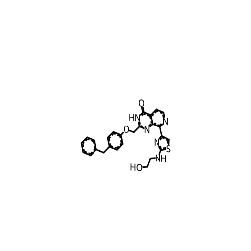 O=c1[nH]c(COc2ccc(Cc3ccccc3)cc2)nc2c(-c3csc(NCCO)n3)nccc12